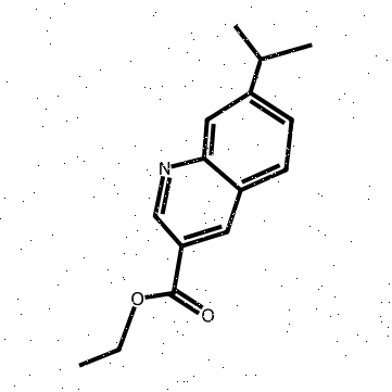 CCOC(=O)c1cnc2cc(C(C)C)ccc2c1